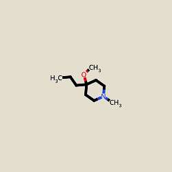 CCCC1(OC)CCN(C)CC1